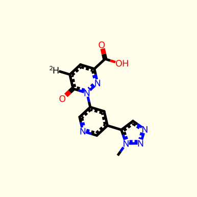 [2H]c1cc(C(=O)O)nn(-c2cncc(-c3cnnn3C)c2)c1=O